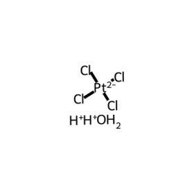 O.[Cl][Pt-2]([Cl])([Cl])[Cl].[H+].[H+]